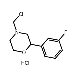 Cl.Fc1cccc(C2CN(CCl)CCO2)c1